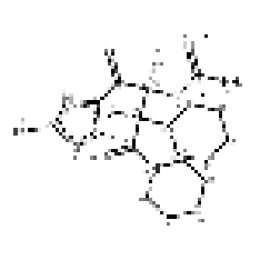 CCc1nc(C(=O)[C@@](CC)(OC(N)=O)C(C)(C(=O)N2CCOCC2)C2CCCCC2)no1